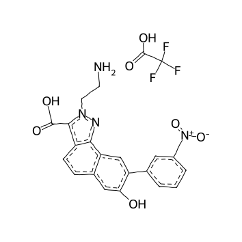 NCCn1nc2c(ccc3cc(O)c(-c4cccc([N+](=O)[O-])c4)cc32)c1C(=O)O.O=C(O)C(F)(F)F